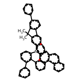 CC1(C)c2cc(-c3ccccc3)ccc2-c2ccc(N(c3ccc4c(ccc5ccccc54)c3)c3cccc(-c4ccccc4)c3-c3ccccc3-c3ccccc3)cc21